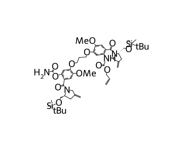 C=CCOC(=O)Nc1cc(OCCCOc2cc(OC(N)=O)c(C(=O)N3CC(=C)C[C@H]3CO[Si](C)(C)C(C)(C)C)cc2OC)c(OC)cc1C(=O)N1CC(=C)C[C@H]1CO[Si](C)(C)C(C)(C)C